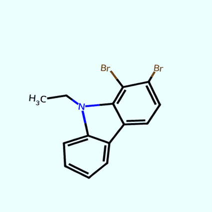 CCn1c2ccccc2c2ccc(Br)c(Br)c21